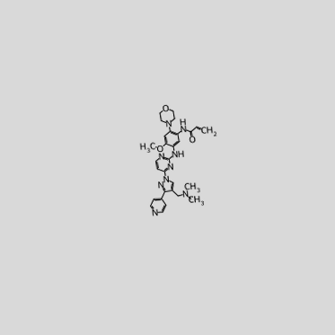 C=CC(=O)Nc1cc(Nc2nccc(-n3cc(CN(C)C)c(-c4ccncc4)n3)n2)c(OC)cc1N1CCOCC1